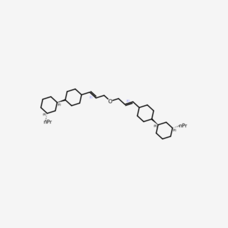 CCC[C@@H]1CCC[C@@H](C2CCC(/C=C/COC/C=C/C3CCC([C@@H]4CCC[C@@H](CCC)C4)CC3)CC2)C1